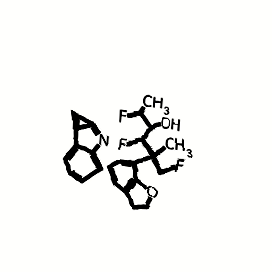 CC(F)C(O)C(F)C(C)(CF)c1cccc2c1OCC2.c1ccc2c3cc-3nc2c1